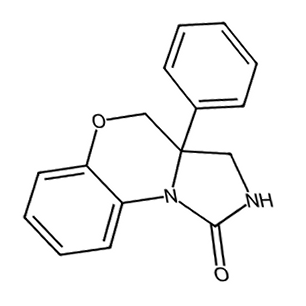 O=C1NCC2(c3ccccc3)COc3ccccc3N12